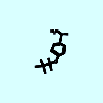 C[C@H](N)c1ccc(O[Si](C)(C)C(C)(C)C)cc1